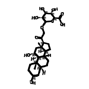 C[C@]12CC[C@H](O)C[C@@H]1CC[C@@H]1[C@@H]2[C@H](O)C[C@]2(C)[C@@H](C(=O)COC3O[C@H](C(=O)O)[C@@H](O)[C@H](O)[C@H]3O)CC[C@@H]12